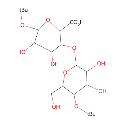 CC(C)(C)OC1OC(C(=O)O)C(OC2OC(CO)C(OC(C)(C)C)C(O)C2O)C(O)C1O